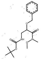 CON(C)C(=O)C(CNC(=O)OC(C)(C)C)OCc1ccccc1